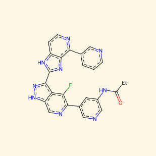 CCC(=O)Nc1cncc(-c2ncc3[nH]nc(-c4nc5c(-c6cccnc6)nccc5[nH]4)c3c2F)c1